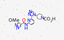 COc1nn(C)cc1C(=O)Nc1cccc(-c2nncn2C2CCN(C(=O)O)CC2)n1